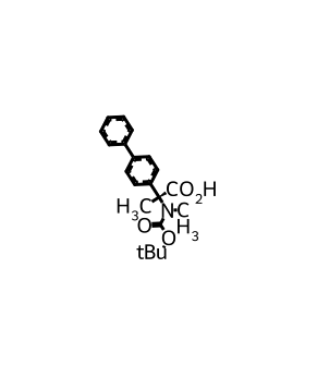 CN(C(=O)OC(C)(C)C)[C@@](C)(C(=O)O)c1ccc(-c2ccccc2)cc1